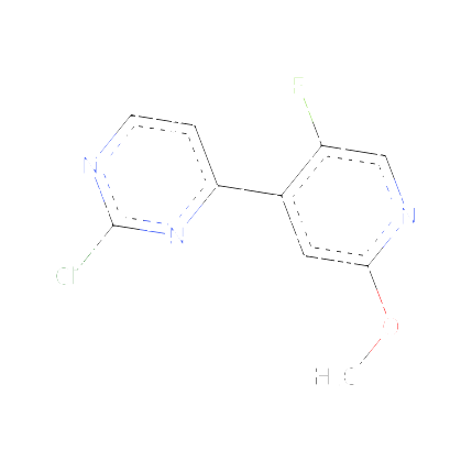 COc1cc(-c2ccnc(Cl)n2)c(F)cn1